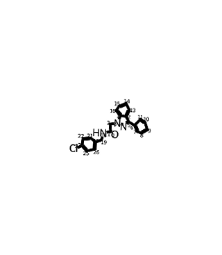 O=C(Cn1nc(-c2ccccc2)c2ccccc21)NCc1ccc(Cl)cc1